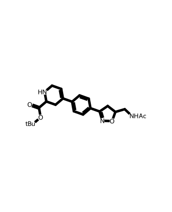 CC(=O)NCC1CC(c2ccc(C3=CCNC(C(=O)OC(C)(C)C)C3)cc2)=NO1